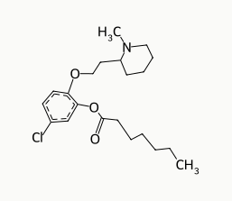 CCCCCCC(=O)Oc1cc(Cl)ccc1OCCC1CCCCN1C